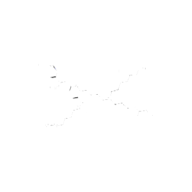 C/C=C\C(=O)N(C=O)CC(=O)NC(CCCCN(CCCCC(O)CO)CCCCC(O)CO)C(=O)N[C@@H](CCCCNC)C(=O)O